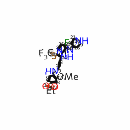 CCS(=O)(=O)c1ccc(NCC#Cc2nc3c(N[C@@H]4CCNC[C@@H]4F)cccn3c2SC(F)(F)F)c(OC)c1